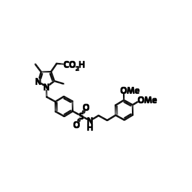 COc1ccc(CCNS(=O)(=O)c2ccc(Cn3nc(C)c(CC(=O)O)c3C)cc2)cc1OC